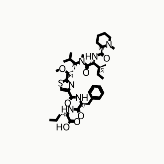 CCC[C@H](NC(=O)[C@H](Cc1ccccc1)NC(=O)c1csc([C@@H](C[C@H](C(C)C)N(C)C(=O)[C@@H](NC(=O)[C@H]2CCCCN2C)[C@@H](C)CC)OC)n1)C(=O)O